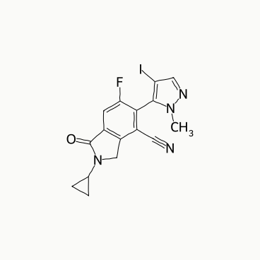 Cn1ncc(I)c1-c1c(F)cc2c(c1C#N)CN(C1CC1)C2=O